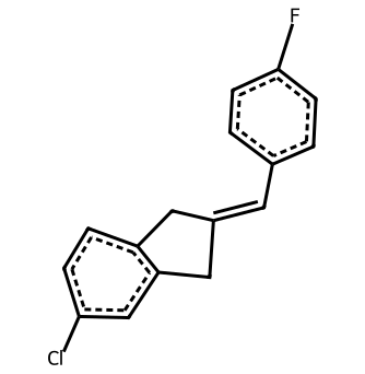 Fc1ccc(/C=C2\Cc3ccc(Cl)cc3C2)cc1